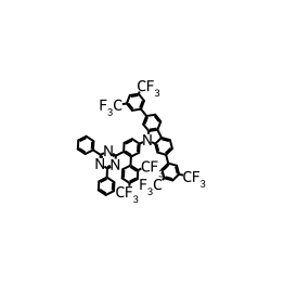 FC(F)(F)c1cc(-c2ccc3c4ccc(-c5cc(C(F)(F)F)cc(C(F)(F)F)c5)cc4n(-c4ccc(-c5nc(-c6ccccc6)nc(-c6ccccc6)n5)c(-c5ccc(C(F)(F)F)cc5C(F)(F)F)c4)c3c2)cc(C(F)(F)F)c1